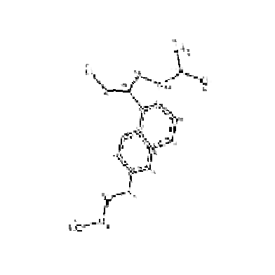 COOSc1ccc2c3c(ccc2c1)N(B(C)O)CC3CCl